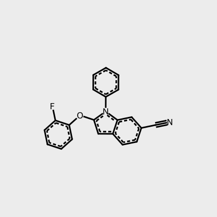 N#Cc1ccc2cc(Oc3ccccc3F)n(-c3ccccc3)c2c1